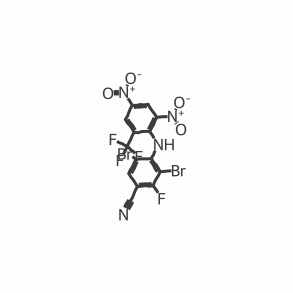 N#Cc1cc(Br)c(Nc2c([N+](=O)[O-])cc([N+](=O)[O-])cc2C(F)(F)F)c(Br)c1F